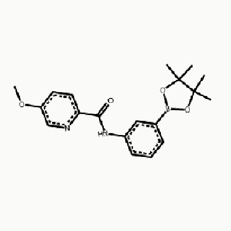 COc1ccc(C(=O)Nc2cccc(B3OC(C)(C)C(C)(C)O3)c2)nc1